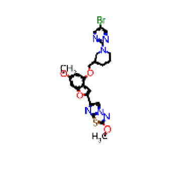 COc1cc(OCC2CCCN(c3ncc(Br)cn3)C2)c2cc(-c3cn4nc(OC)sc4n3)oc2c1